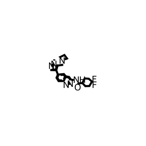 Cn1ncc(-c2ccc3nnc(NC(=O)C4CCC(F)(F)CC4)cc3c2)c1CN1CCC1